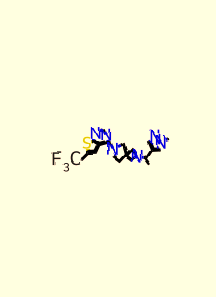 CC(c1cnn(C)c1)N1CC2(CCN(c3ncnc4sc(CC(F)(F)F)cc34)C2)C1